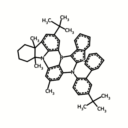 Cc1cc2c3c(c1)N1c4c(cc(C(C)(C)C)cc4C4(C)CCCCC14C)B3c1c(sc3ccccc13)N2c1ccc(C(C)(C)C)cc1-c1ccccc1